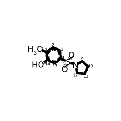 Cc1ccc(S(=O)(=O)N2CCCC2)cc1O